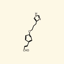 O=CC=Cc1ccc(OCCCc2c[nH]cn2)cc1